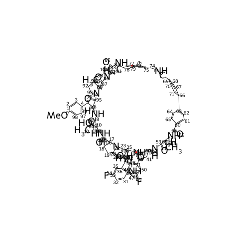 COc1ccc(C[C@H]2NC(=O)[C@H]([C@@H](C)O)NC(=O)[C@@H]3CC[C@H](F)N3C(=O)[C@@H](Cc3c[nH]c4ccc(F)cc34)NC(=O)[C@@H](Cc3c[nH]c4ccc(F)cc34)NC(=O)[C@@H](C)NC(=O)c3ccc(cc3)-c3ccc(cc3)CNCc3ccc(cc3)C[C@@H](C(N)=O)NC(=O)[C@]3(C)CCCN3C2=O)cc1